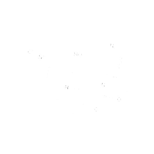 [C-]#[N+]c1cccc(C(O)(c2cccnc2)C(c2ccccn2)N2CCCOC2=O)c1